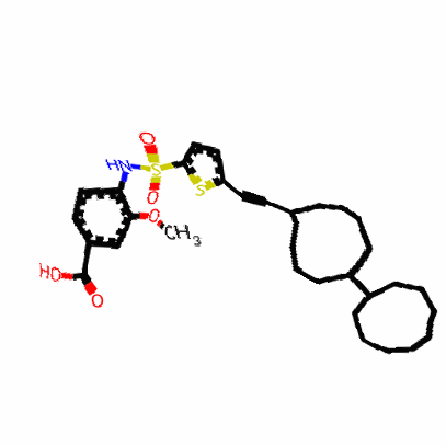 COc1cc(C(=O)O)ccc1NS(=O)(=O)c1ccc(C#CC2CCCCC(C3CCCCCCCC3)CCC2)s1